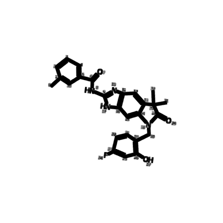 Cc1cccc(C(=O)Nc2nc3cc4c(cc3[nH]2)N(Cc2ccc(F)cc2O)C(=O)C4(C)C)c1